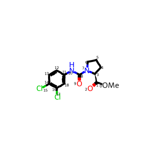 COC(=O)[C@@H]1CCCN1C(=O)Nc1ccc(Cl)c(Cl)c1